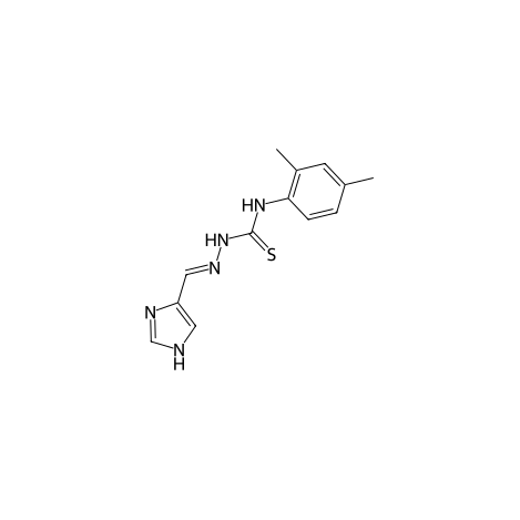 Cc1ccc(NC(=S)NN=Cc2c[nH]cn2)c(C)c1